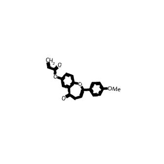 C=CC(=O)Oc1ccc2c(c1)C(=O)CC=C(c1ccc(OC)cc1)O2